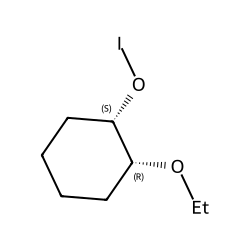 CCO[C@@H]1CCCC[C@@H]1OI